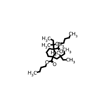 CCCCOC(=O)C1(CC(C)(CC)CC)CCCC(C(=O)OCCCC)(C(C)(C)CC)C1